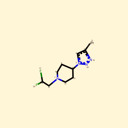 CC(C)c1cn(C2CCN(CC(F)F)CC2)nn1